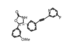 COc1cccc([C@H]2OC(=O)N[C@@H]2c2cccc(C#Cc3cc(F)ccn3)c2)c1